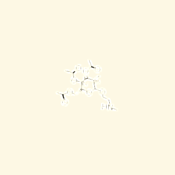 CNCCOC1O[C@H](COC(C)=O)[C@@H](OC(C)=O)[C@H](OC(C)=O)[C@H]1C